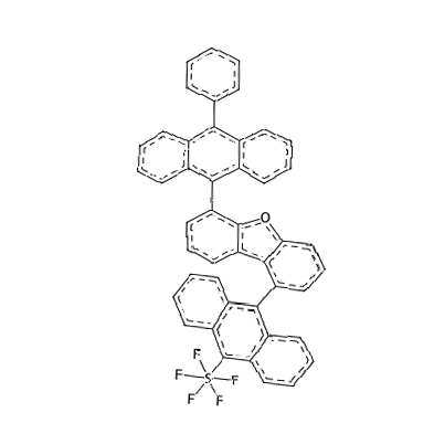 FS(F)(F)(F)(F)c1c2ccccc2c(-c2cccc3oc4c(-c5c6ccccc6c(-c6ccccc6)c6ccccc56)cccc4c23)c2ccccc12